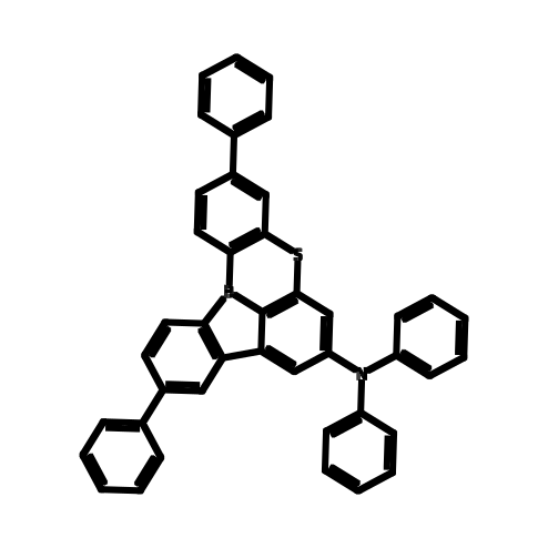 c1ccc(-c2ccc3c(c2)Sc2cc(N(c4ccccc4)c4ccccc4)cc4c2B3c2ccc(-c3ccccc3)cc2-4)cc1